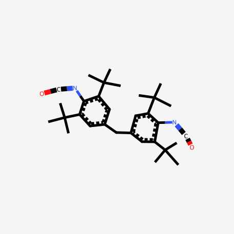 CC(C)(C)c1cc(Cc2cc(C(C)(C)C)c(N=C=O)c(C(C)(C)C)c2)cc(C(C)(C)C)c1N=C=O